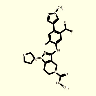 CNC(=O)N1CCc2c(c(Nc3cc(C(F)F)c(-c4cnn(C)c4)cc3F)nn2[C@H]2CCOC2)C1